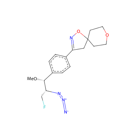 CO[C@H](c1ccc(C2=NOC3(CCOCC3)C2)cc1)[C@@H](CF)N=[N+]=[N-]